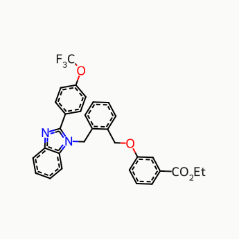 CCOC(=O)c1cccc(OCc2ccccc2Cn2c(-c3ccc(OC(F)(F)F)cc3)nc3ccccc32)c1